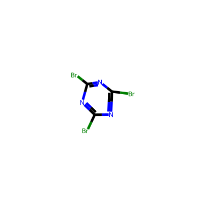 Brc1nc(Br)nc(Br)n1